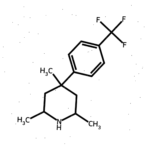 CC1CC(C)(c2ccc(C(F)(F)F)cc2)CC(C)N1